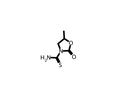 CC1CN(C(N)=S)C(=O)O1